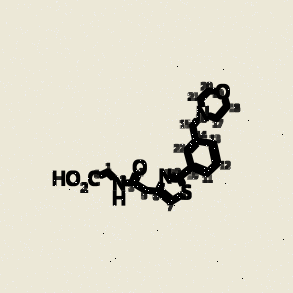 O=C(O)CNC(=O)Cc1csc(-c2cccc(CN3CCOCC3)c2)n1